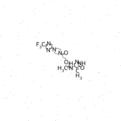 Cc1c(N[C@@H](C)COCCC(=O)N2CCN(c3cnc(C(F)(F)F)cn3)CC2)cn[nH]c1=O